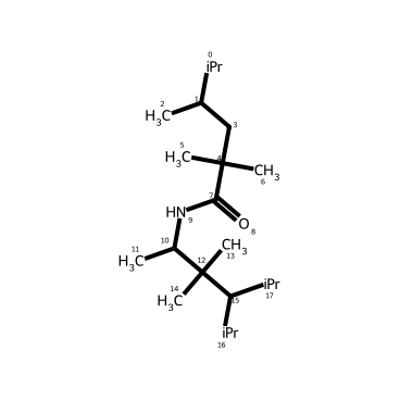 CC(C)C(C)CC(C)(C)C(=O)NC(C)C(C)(C)C(C(C)C)C(C)C